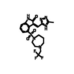 Cc1nnc(/C=C2\C(=O)Nc3cccc(S(=O)(=O)N4CCCN(CC(F)(F)F)CC4)c32)[nH]1